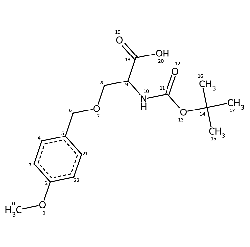 COc1ccc(COCC(NC(=O)OC(C)(C)C)C(=O)O)cc1